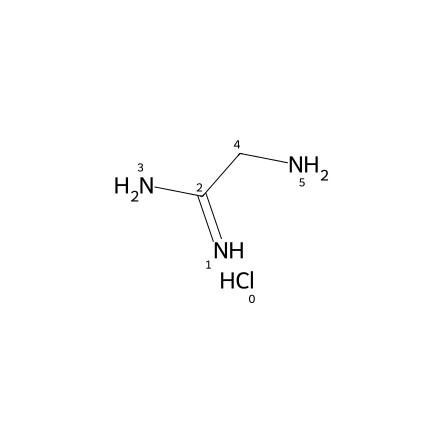 Cl.N=C(N)CN